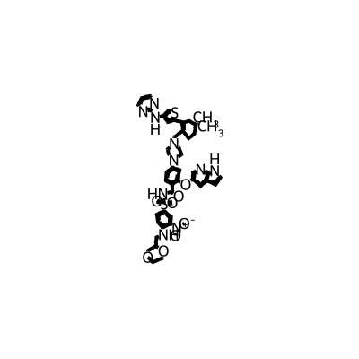 CC1(C)CCC(CN2CCN(c3ccc(C(=O)NS(=O)(=O)c4ccc(NCC5COCCO5)c([N+](=O)[O-])c4)c(Oc4cnc5[nH]ccc5c4)c3)CC2)=C(c2cc(Nc3ncccn3)cs2)C1